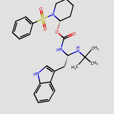 CC(C)(C)N[C@H](Cc1c[nH]c2ccccc12)NC(=O)O[C@H]1CCCCN1S(=O)(=O)c1ccccc1